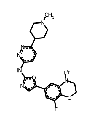 CC(C)N1CCOc2c(F)cc(-c3cnc(Nc4ccc(C5CCN(C)CC5)nn4)o3)cc21